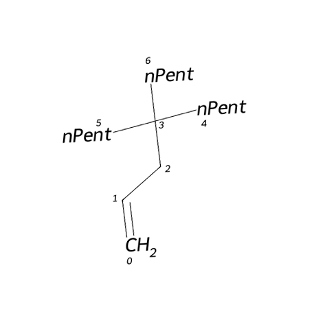 C=CCC(CCCCC)(CCCCC)CCCCC